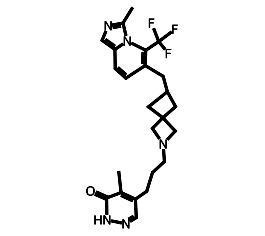 Cc1c(CCCN2CC3(CC(Cc4ccc5cnc(C)n5c4C(F)(F)F)C3)C2)cn[nH]c1=O